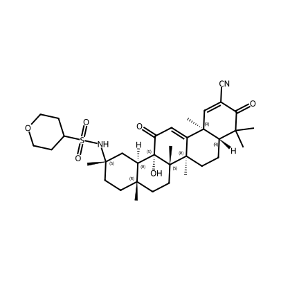 CC1(C)C(=O)C(C#N)=C[C@]2(C)C3=CC(=O)[C@]4(O)[C@@H]5C[C@@](C)(NS(=O)(=O)C6CCOCC6)CC[C@@]5(C)CC[C@@]4(C)[C@]3(C)CC[C@@H]12